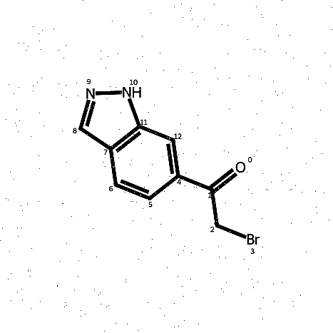 O=C(CBr)c1ccc2cn[nH]c2c1